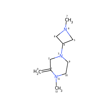 C=C1CN(C2CN(C)C2)CCN1C